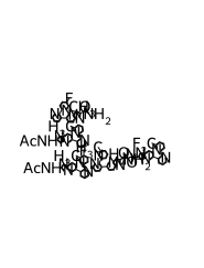 CC(=O)Nc1cn2cc(-c3cccnc3-c3ccc(F)c(C)n3)ccc2n1.CC(=O)Nc1cn2cc(-c3cccnc3-c3cccc(C)n3)ccc2n1.Cc1cccc(-c2ncccc2-c2ccc3nc(C(N)=O)cn3c2)n1.Cc1nc(-c2ncccc2-c2ccc3nc(C(N)=O)cn3c2)ccc1F.NC(=O)c1cn2cc(-c3cccnc3-c3cccc(C(F)(F)F)n3)ccc2n1